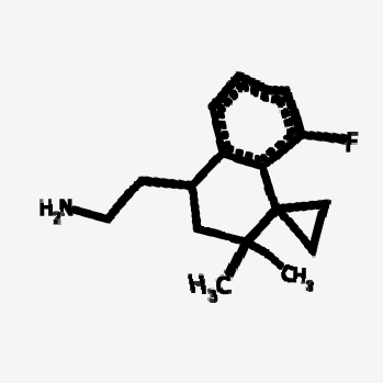 CC1(C)CC(CCN)c2cccc(F)c2C12CC2